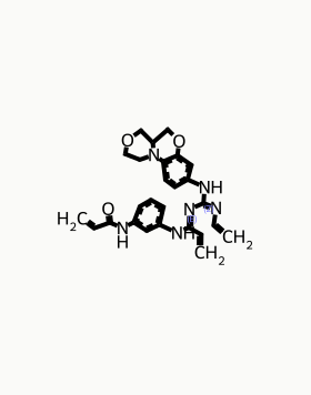 C=C/N=C(\N=C(/C=C)Nc1cccc(NC(=O)C=C)c1)Nc1ccc2c(c1)OCC1COCCN21